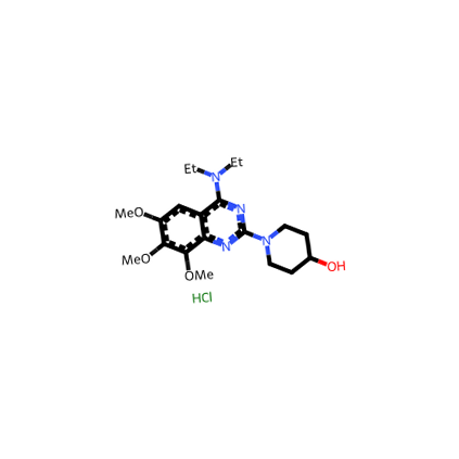 CCN(CC)c1nc(N2CCC(O)CC2)nc2c(OC)c(OC)c(OC)cc12.Cl